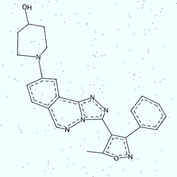 Cc1onc(-c2ccccc2)c1-c1nnc2c3cc(N4CCC(O)CC4)ccc3cnn12